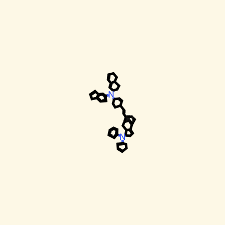 CCC1=C2CCC(/C=C/C3C=CC(N(c4ccc5c(c4)C=CC5)C4C=C5C=CCCC5CC4)CC3)=C1CC1C2=CCC1N(C1=CC=CCC1)c1ccccc1